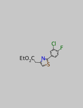 CCOC(=O)Cc1csc(-c2ccc(F)c(Cl)c2)n1